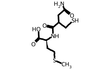 CSCC[C@H](NC(=O)C(CS)CC(N)=O)C(=O)O